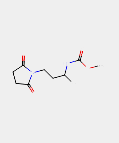 CC(C)(C)OC(=O)NC(CCN1C(=O)CCC1=O)C(=O)O